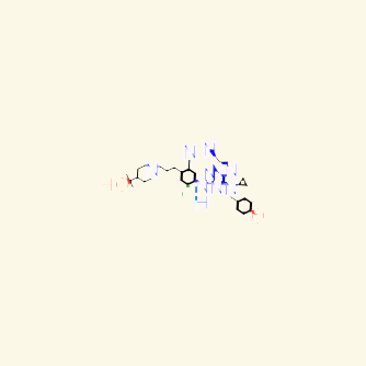 COc1ccc(CN(c2nc(Nc3cc(C#N)c(CCCN4CCC(C(C)(C)O)CC4)cc3Cl)nn3c(C#N)cnc23)C2CC2)cc1